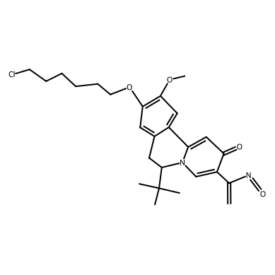 C=C(N=O)c1cn2c(cc1=O)-c1cc(OC)c(OCCCCCCCl)cc1CC2C(C)(C)C